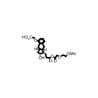 CC[C@@H](CC[C@@H]1[C@H]2Cc3cccc(OCC(=O)O)c3C[C@H]2C[C@H]1O)OC(=O)COCCOC